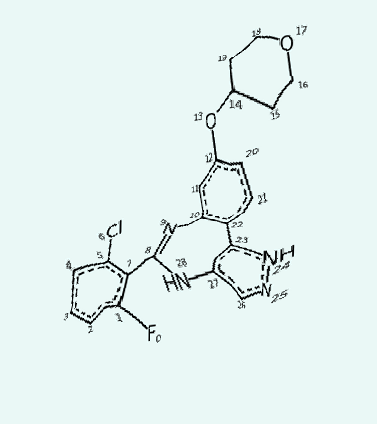 Fc1cccc(Cl)c1C1=Nc2cc(OC3CCOCC3)ccc2-c2[nH]ncc2N1